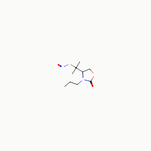 [CH2]CCN1C(=O)OCC1C(C)(C)SN=O